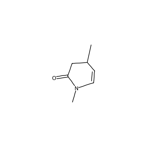 CC1C=CN(C)C(=O)C1